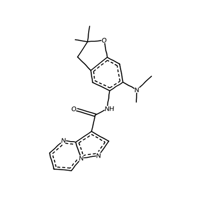 CN(C)c1cc2c(cc1NC(=O)c1cnn3cccnc13)CC(C)(C)O2